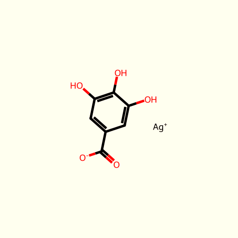 O=C([O-])c1cc(O)c(O)c(O)c1.[Ag+]